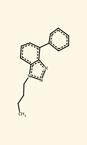 CCCCn1nnc2c(-c3ccccc3)cccc21